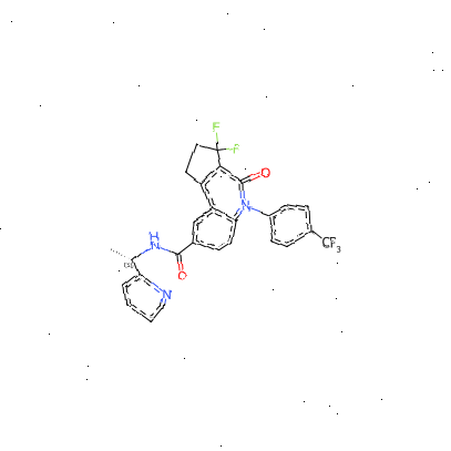 C[C@H](NC(=O)c1ccc2c(c1)c1c(c(=O)n2-c2ccc(C(F)(F)F)cc2)C(F)(F)CC1)c1ccccn1